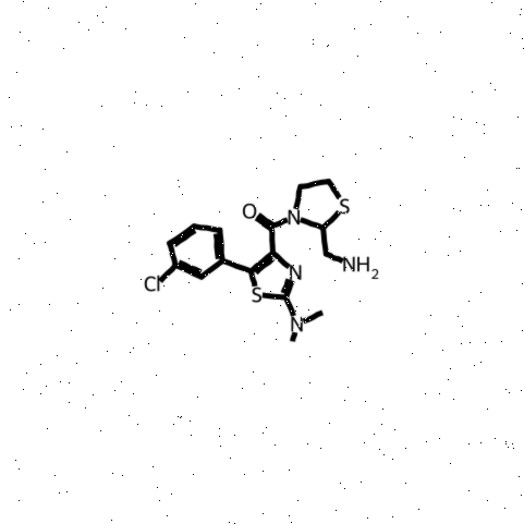 CN(C)c1nc(C(=O)N2CCSC2CN)c(-c2cccc(Cl)c2)s1